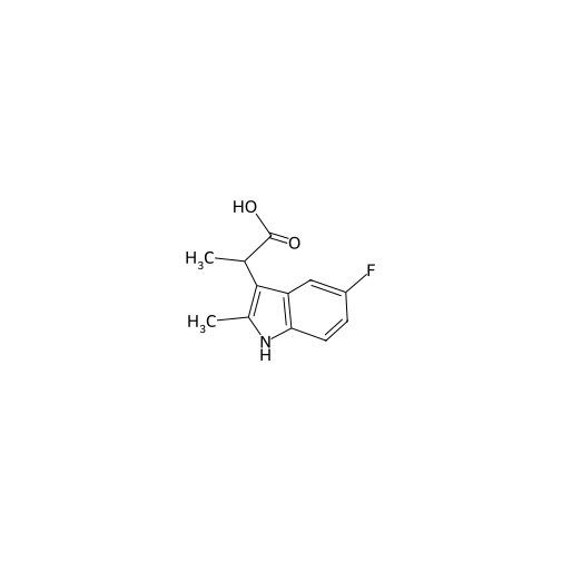 Cc1[nH]c2ccc(F)cc2c1C(C)C(=O)O